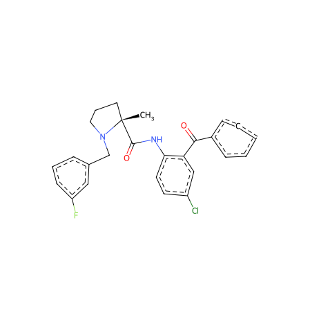 C[C@]1(C(=O)Nc2ccc(Cl)cc2C(=O)c2ccccc2)CCCN1Cc1cccc(F)c1